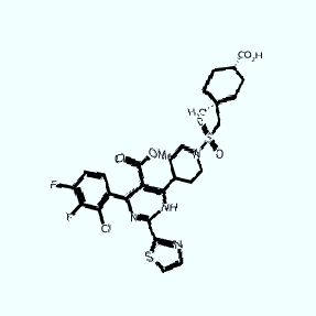 COC(=O)C1=C(C2CCN(S(=O)(=O)C[C@]3(C)CC[C@@H](C(=O)O)CC3)CC2)NC(c2nccs2)=NC1c1ccc(F)c(F)c1Cl